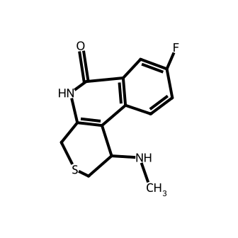 CNC1CSCc2[nH]c(=O)c3cc(F)ccc3c21